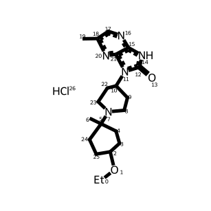 CCOC1CCC(C)(N2CCC(n3c(=O)[nH]c4ncc(C)nc43)CC2)CC1.Cl